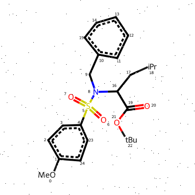 COc1ccc(S(=O)(=O)N(Cc2ccccc2)C(CC(C)C)C(=O)OC(C)(C)C)cc1